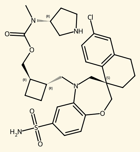 CN(C(=O)OC[C@@H]1CC[C@H]1CN1C[C@@]2(CCCc3cc(Cl)ccc32)COc2ccc(S(N)(=O)=O)cc21)[C@@H]1CCNC1